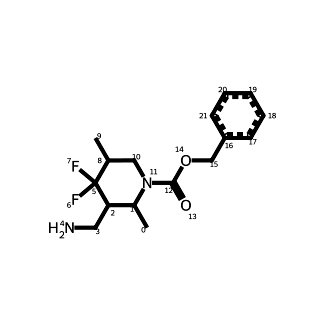 CC1C(CN)C(F)(F)C(C)CN1C(=O)OCc1ccccc1